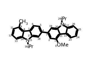 COc1cc(-c2ccc3c4c(C)cccc4n(C(C)C)c3c2)cc2c1c1ccccc1n2C(C)C